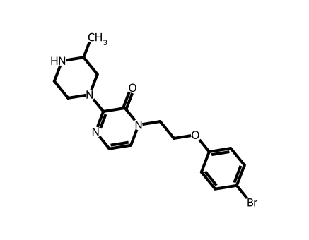 CC1CN(c2nccn(CCOc3ccc(Br)cc3)c2=O)CCN1